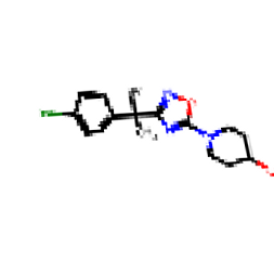 CC(C)C(C)(c1ccc(Br)cc1)c1noc(N2CCC(O)CC2)n1